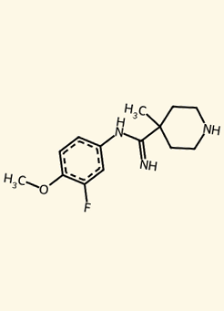 COc1ccc(NC(=N)C2(C)CCNCC2)cc1F